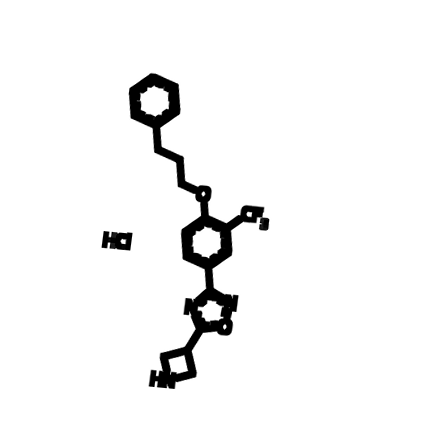 Cl.FC(F)(F)c1cc(-c2noc(C3CNC3)n2)ccc1OCCCc1ccccc1